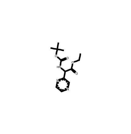 CCOC(=O)C(NC(=O)OC(C)(C)C)c1cnccn1